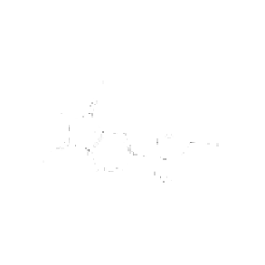 CO[Si](CCO)(OC)c1ccc2c(c1)C(=O)OC2=O